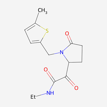 CCNC(=O)C(=O)C1CCC(=O)N1Cc1ccc(C)s1